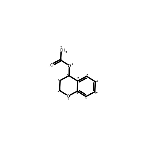 CC(=O)OC1CCOc2ccccc21